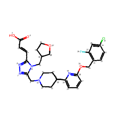 O=C(O)/C=C/c1nnc(CN2CCC(c3cccc(OCc4ccc(Cl)cc4F)n3)CC2)n1CC1CCOC1